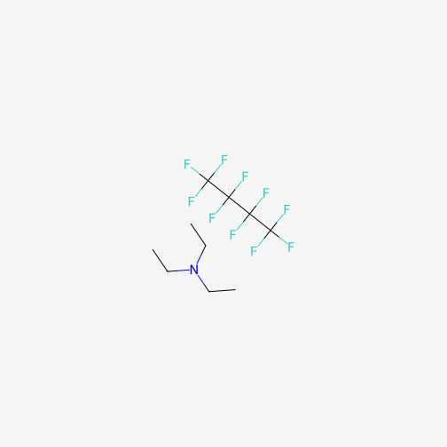 CCN(CC)CC.FC(F)(F)C(F)(F)C(F)(F)C(F)(F)F